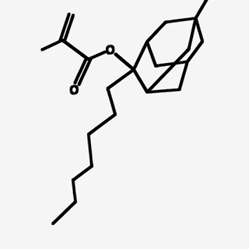 C=C(C)C(=O)OC1(CCCCCCC)C2CC3CC1CC(C)(C3)C2